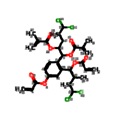 C=CC(=O)Oc1ccc(C(OC(=O)C(=C)C)C(C[SiH2]C(Cl)Cl)OC(=O)C(=C)C)c(C(OC(=O)C=C)C(C)[SiH2]C(Cl)Cl)c1